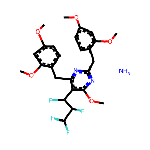 COc1ccc(Cc2nc(Cc3ccc(OC)cc3OC)c(C(F)C(F)C(F)F)c(OC)n2)c(OC)c1.N